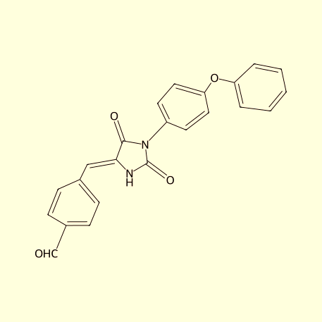 O=Cc1ccc(/C=C2\NC(=O)N(c3ccc(Oc4ccccc4)cc3)C2=O)cc1